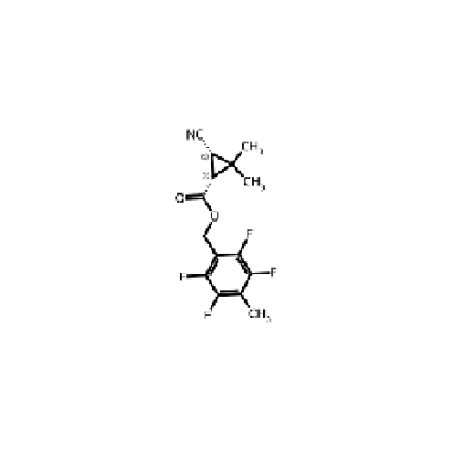 Cc1c(F)c(F)c(COC(=O)[C@@H]2[C@H](C#N)C2(C)C)c(F)c1F